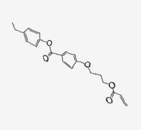 C=CC(=O)OCCCOc1ccc(C(=O)Oc2ccc(CC)cc2)cc1